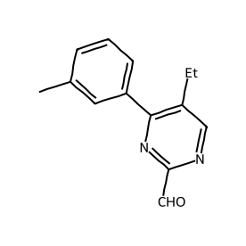 CCc1cnc(C=O)nc1-c1cccc(C)c1